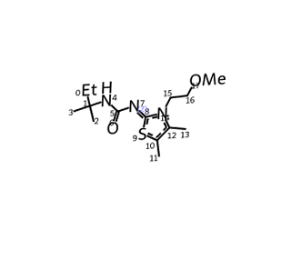 CCC(C)(C)NC(=O)/N=c1\sc(C)c(C)n1CCOC